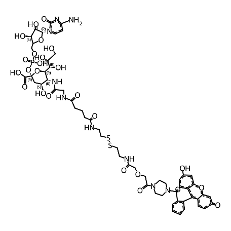 Nc1ccn([C@@H]2OC(COP(=O)(O)O[C@@]3(C(=O)O)C[C@H](O)[C@@H](NC(=O)CNC(=O)CCCC(=O)NCCSSCCNC(=O)COCC(=O)N4CCN(C(=O)c5ccccc5-c5c6ccc(=O)cc-6oc6cc(O)ccc56)CC4)[C@H]([C@H](O)[C@H](O)CO)O3)[C@@H](O)[C@H]2O)c(=O)n1